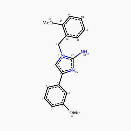 COc1cccc(-c2cn(Cc3ccccc3OC)c(N)n2)c1